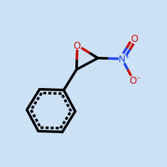 O=[N+]([O-])C1OC1c1ccccc1